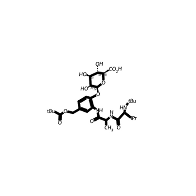 CC(NC(=O)C(NC(C)(C)C)C(C)C)C(=O)Nc1cc(COC(=O)C(C)(C)C)ccc1O[C@@H]1O[C@H](C(=O)O)[C@@H](O)[C@H](O)[C@H]1O